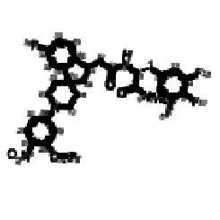 CNC(=O)[C@@H](Cc1cc(F)c(F)c(F)c1)NC(=O)CC1CC2(CCN(c3ccc([N+](=O)[O-])c(OC(C)C)c3)CC2)c2cc(F)ccc21